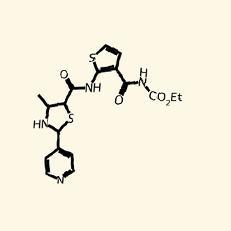 CCOC(=O)NC(=O)c1ccsc1NC(=O)C1SC(c2ccncc2)NC1C